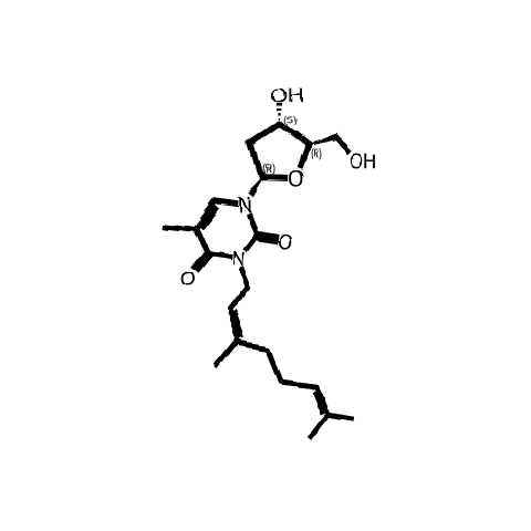 CC(C)=CCCC(C)=CCn1c(=O)c(C)cn([C@H]2C[C@H](O)[C@@H](CO)O2)c1=O